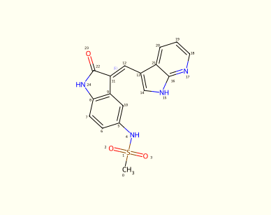 CS(=O)(=O)Nc1ccc2c(c1)/C(=C\c1c[nH]c3ncccc13)C(=O)N2